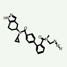 CN(CN=[N+]=[N-])C(=O)c1ccccc1-c1ccc(C(=O)N(C2CC2)C2CCc3[nH]ncc3C2)cc1